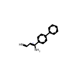 N=C/C=C(\N)c1ccc(-c2ccccc2)cc1